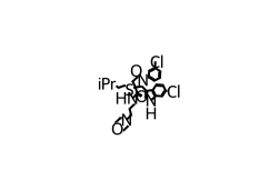 CC(C)CCSC1(C(=O)NCCCN2CCOCC2)CC(=O)N(c2cccc(Cl)c2)C1c1c[nH]c2cc(Cl)ccc12